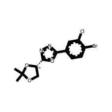 CC1(C)OC[C@@H](c2nnc(-c3ccc(Br)c(Cl)c3)o2)O1